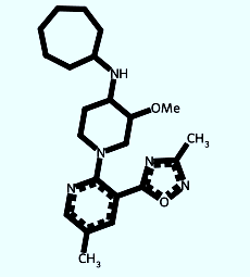 COC1CN(c2ncc(C)cc2-c2nc(C)no2)CCC1NC1CCCCCC1